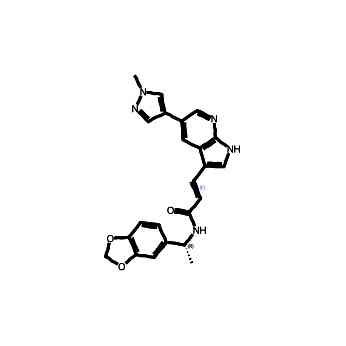 C[C@@H](NC(=O)/C=C/c1c[nH]c2ncc(-c3cnn(C)c3)cc12)c1ccc2c(c1)OCO2